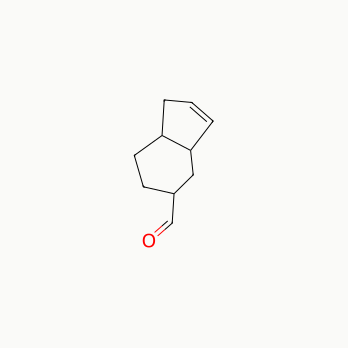 O=CC1CCC2CC=CC2C1